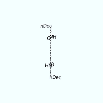 CCCCCCCCCCCCCCCCCCNC(=O)CCCCCCCCCCCCCCCCCCCCC(=O)NCCCCCCCCCCCCCCCCCC